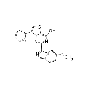 COc1ccc2cnc(-c3nc(O)c4scc(-c5ccccn5)c4n3)n2c1